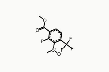 COC(=O)c1ccc(C(F)(F)F)c([S+](C)[O-])c1F